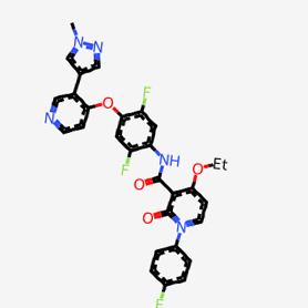 CCOc1ccn(-c2ccc(F)cc2)c(=O)c1C(=O)Nc1cc(F)c(Oc2ccncc2-c2cnn(C)c2)cc1F